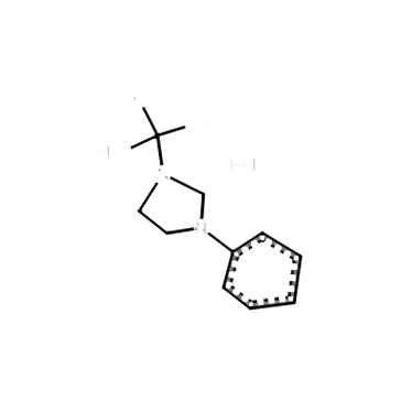 CC(C)(C)N1CCN(c2ccccc2)C1.Cl